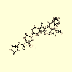 Cc1c(-c2[nH]c3ccc(N4CCN(C(=O)CN5CCCC5)[C@H](C)C4)nc3c2C(C)C)cn2ncnc2c1C